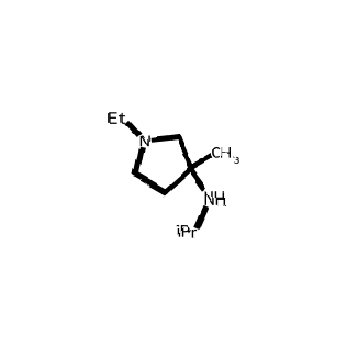 CCN1CCC(C)(NC(C)C)C1